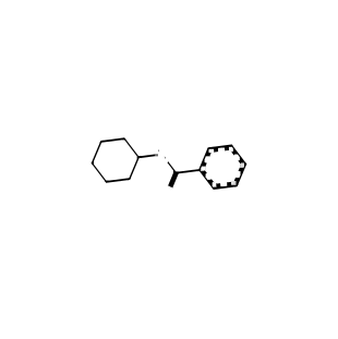 O=C(NC1[CH]CCCC1)c1ccccc1